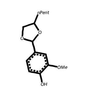 CCCCCC1COC(c2ccc(O)c(OC)c2)O1